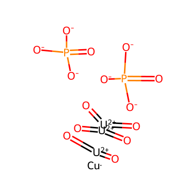 O=P([O-])([O-])[O-].O=P([O-])([O-])[O-].[Cu].[O]=[U+2]=[O].[O]=[U+2]=[O].[O]=[U+2]=[O]